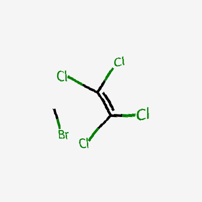 CBr.ClC(Cl)=C(Cl)Cl